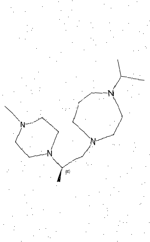 CC(C)N1CCCN(C[C@@H](C)N2CCN(C)CC2)CC1